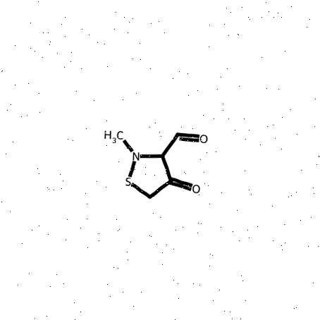 CN1SCC(=O)C1C=O